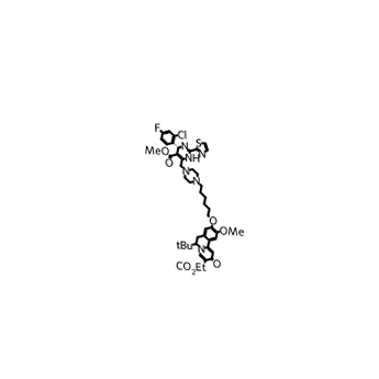 CCOC(=O)c1cn2c(cc1=O)-c1cc(OC)c(OCCCCCCN3CCN(CC4=C(C(=O)OC)[C@H](c5ccc(F)cc5Cl)N=C(c5nccs5)N4)CC3)cc1CC2C(C)(C)C